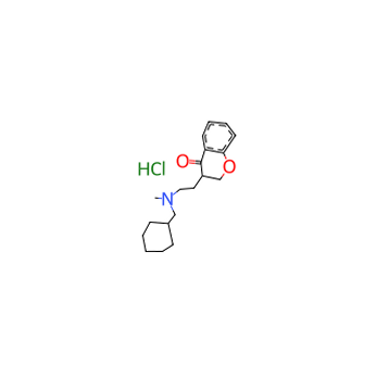 CN(CCC1COc2ccccc2C1=O)CC1CCCCC1.Cl